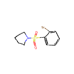 O=S(=O)(c1ccccc1Br)N1CCCC1